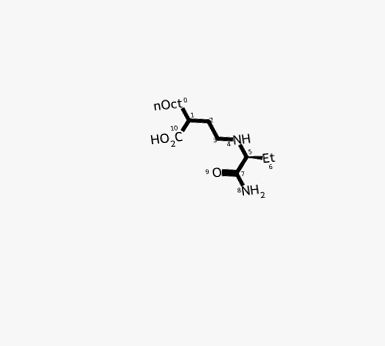 CCCCCCCCC(CCN[C@@H](CC)C(N)=O)C(=O)O